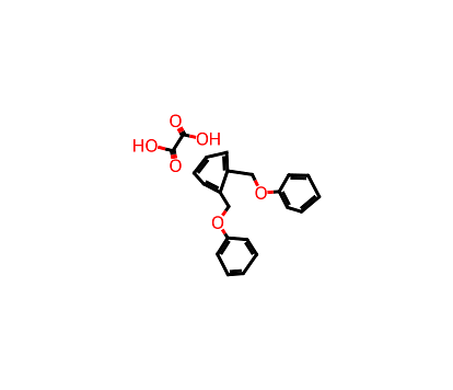 O=C(O)C(=O)O.c1ccc(OCc2ccccc2COc2ccccc2)cc1